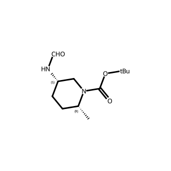 C[C@@H]1CC[C@H](NC=O)CN1C(=O)OC(C)(C)C